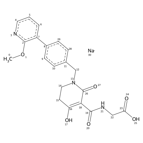 COc1ncccc1-c1ccc(CN2CCC(O)=C(C(=O)NCC(=O)O)C2=O)cc1.[Na]